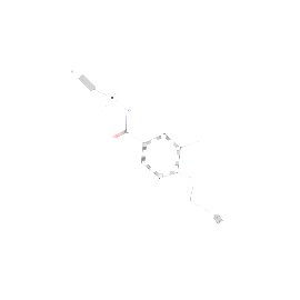 C#CCOc1c(F)cc(C(=O)NC(C)(C)C#C)cc1F